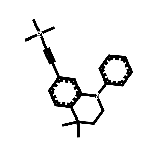 CC1(C)CCN(c2ccccc2)c2cc(C#C[Si](C)(C)C)ccc21